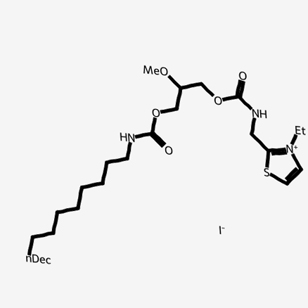 CCCCCCCCCCCCCCCCCCNC(=O)OCC(COC(=O)NCc1scc[n+]1CC)OC.[I-]